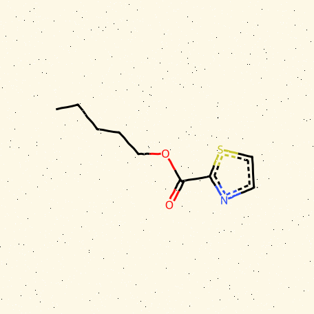 CCCCCOC(=O)c1n[c]cs1